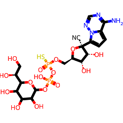 N#C[C@@]1(c2ccc3c(N)ncnn23)O[C@H](COP(=O)(S)OP(=O)(O)OC2OC([C@@H](O)CO)C(O)C(O)C2O)[C@@H](O)[C@H]1O